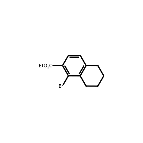 CCOC(=O)c1ccc2c(c1Br)CCCC2